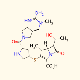 C[C@@H](O)[C@H]1C(=O)N2C(C(=O)O)=C(S[C@@H]3CN[C@H](C(=O)N4CC[C@@H](CN(C)C(=N)N)C4)C3)[C@H](C)[C@H]12